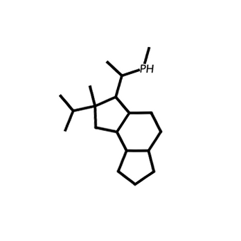 CPC(C)C1C2CCC3CCCC3C2CC1(C)C(C)C